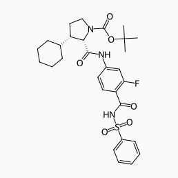 CC(C)(C)OC(=O)N1CC[C@@H](C2CCCCC2)[C@H]1C(=O)Nc1ccc(C(=O)NS(=O)(=O)c2ccccc2)c(F)c1